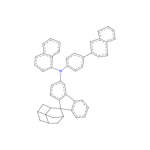 c1ccc2c(c1)-c1cc(N(c3ccc(-c4ccc5ccccc5c4)cc3)c3cccc4ccccc34)ccc1C21C2CC3CC(C2)CC1C3